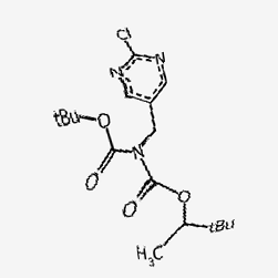 CC(OC(=O)N(Cc1cnc(Cl)nc1)C(=O)OC(C)(C)C)C(C)(C)C